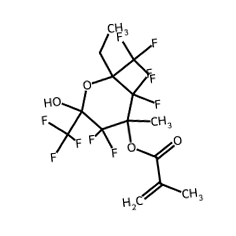 C=C(C)C(=O)OC1(C)C(F)(F)C(O)(C(F)(F)F)OC(CC)(C(F)(F)F)C1(F)F